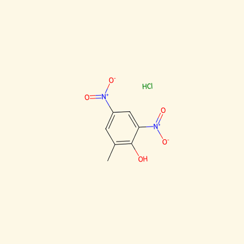 Cc1cc([N+](=O)[O-])cc([N+](=O)[O-])c1O.Cl